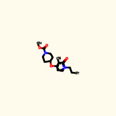 CC(C)CCn1ccc(OC2CCN(C(=O)OC(C)(C)C)CC2)c(C#N)c1=O